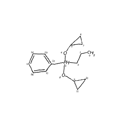 CCC[PH](OC1CC1)(OC1CC1)c1ccccc1